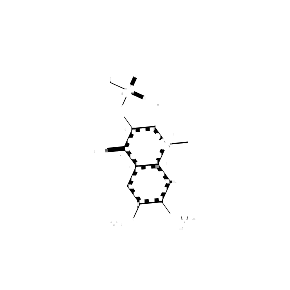 COc1cc2c(=O)c(OS(C)(=O)=O)cn(C)c2cc1OC